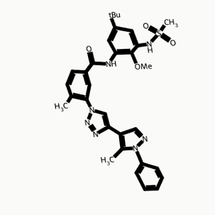 COc1c(NC(=O)c2ccc(C)c(-n3cc(-c4cnn(-c5ccccc5)c4C)nn3)c2)cc(C(C)(C)C)cc1NS(C)(=O)=O